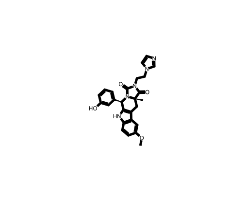 COc1ccc2[nH]c3c(c2c1)C[C@@]1(C)C(=O)N(CCn2ccnc2)C(=O)N1[C@@H]3c1cccc(O)c1